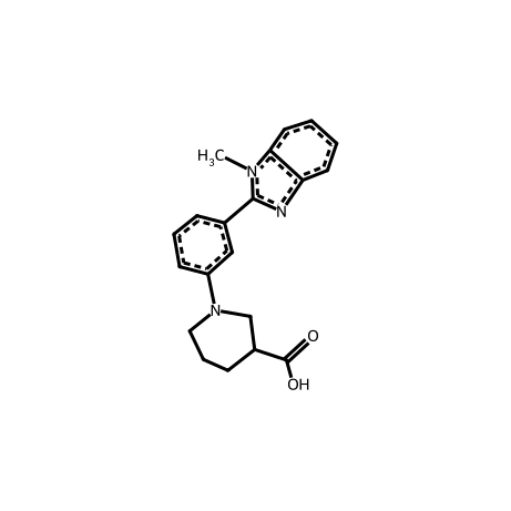 Cn1c(-c2cccc(N3CCCC(C(=O)O)C3)c2)nc2ccccc21